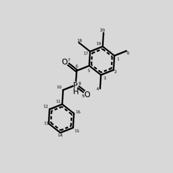 Cc1cc(C)c(C(=O)[PH](=O)Cc2ccccc2)c(C)c1C